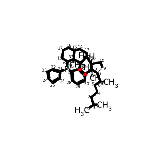 CC(C)CCC[C@@H](C)[C@H]1CC[C@H]2[C@@H]3CCC4CCCC(P(c5ccccc5)c5ccccc5)[C@]4(C)[C@H]3CC[C@]12C